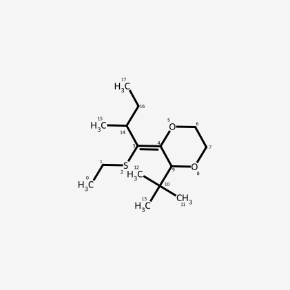 CCS/C(=C1/OCCOC1C(C)(C)C)C(C)CC